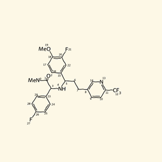 CNC(=O)C(NC(CCc1ccc(C(F)(F)F)nc1)c1ccc(OC)c(F)c1)c1ccc(F)cc1